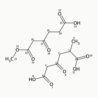 CC(CC(=O)CC(=O)O)C(=O)O.COC(=O)CC(=O)CCC(=O)O